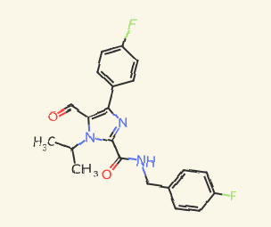 CC(C)n1c(C(=O)NCc2ccc(F)cc2)nc(-c2ccc(F)cc2)c1C=O